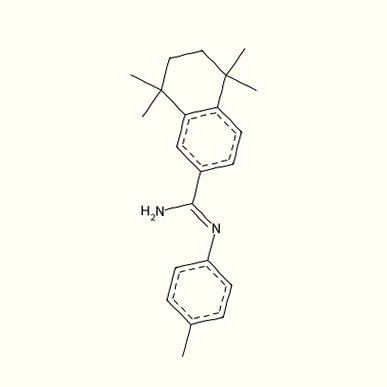 Cc1ccc(N=C(N)c2ccc3c(c2)C(C)(C)CCC3(C)C)cc1